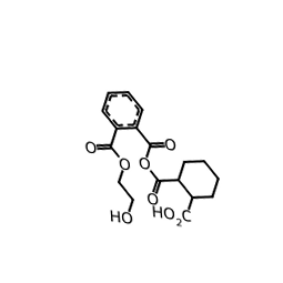 O=C(OCCO)c1ccccc1C(=O)OC(=O)C1CCCCC1C(=O)O